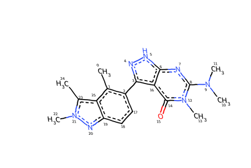 Cc1c(-c2n[nH]c3nc(N(C)C)n(C)c(=O)c23)ccc2nn(C)c(C)c12